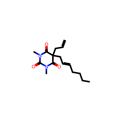 C=CCC1(CC=CCCCC)C(=O)N(C)C(=O)N(C)C1=O